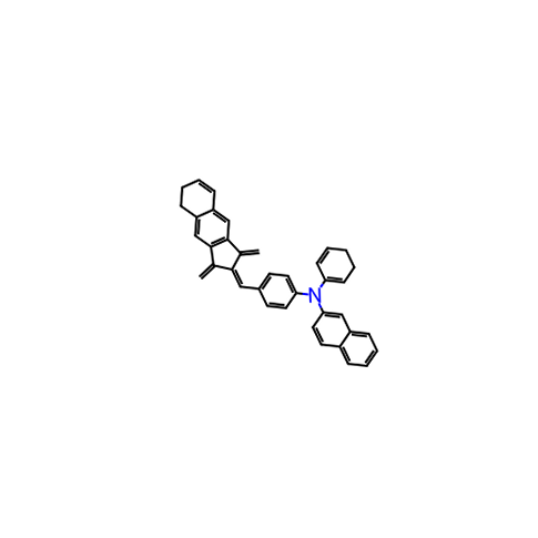 C=C1/C(=C\c2ccc(N(C3=CCCC=C3)c3ccc4ccccc4c3)cc2)C(=C)c2cc3c(cc21)C=CCC3